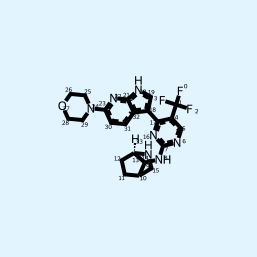 FC(F)(F)c1cnc(NC2C3CC[C@H]2NC3)nc1-c1c[nH]c2nc(N3CCOCC3)ccc12